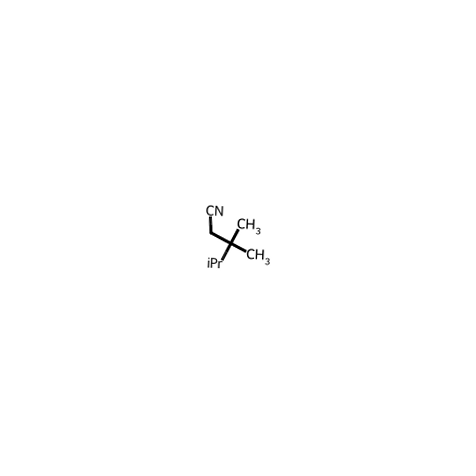 CC(C)C(C)(C)CC#N